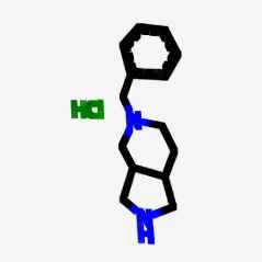 Cl.c1ccc(CN2CCC3CNCC3C2)cc1